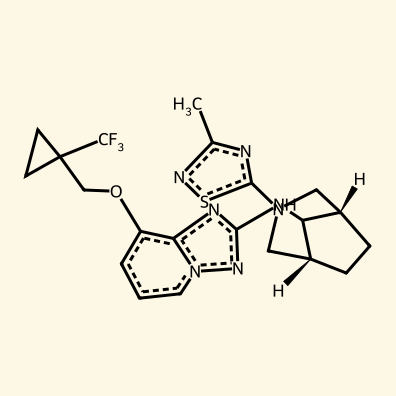 Cc1nsc(N2C[C@H]3CC[C@@H](C2)C3Nc2nc3c(OCC4(C(F)(F)F)CC4)cccn3n2)n1